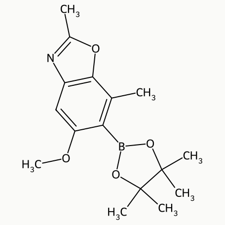 COc1cc2nc(C)oc2c(C)c1B1OC(C)(C)C(C)(C)O1